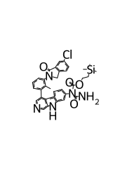 Cc1c(-c2cncc3[nH]c4cc(N(C(N)=O)C(=O)OCC[Si](C)(C)C)ccc4c23)cccc1N1Cc2ccc(Cl)cc2C1=O